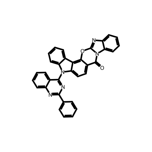 O=c1c2ccc3c(c4ccccc4n3-c3nc(-c4ccccc4)nc4ccccc34)c2oc2nc3ccccc3n12